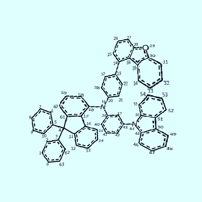 c1ccc(C2(c3ccccc3)c3ccccc3-c3c(N(c4ccc(-c5cccc6oc7ccccc7c56)cc4)c4cccc(-n5c6ccccc6c6ccccc65)c4)cccc32)cc1